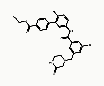 Cc1ncc(NC(=O)c2cc(CN3CCNC(=O)C3)cc(C(C)(C)C)c2)cc1-c1ccc(C(=O)NCC(C)(C)C)cc1